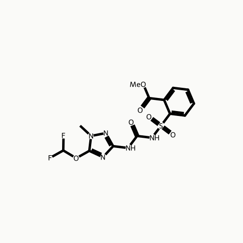 COC(=O)c1ccccc1S(=O)(=O)NC(=O)Nc1nc(OC(F)F)n(C)n1